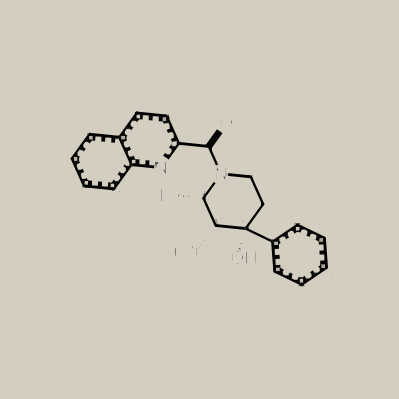 CCC[C@@H]1[C@H](CC)N(C(=O)c2ccc3ccccc3n2)CC[C@@]1(O)c1ccccc1